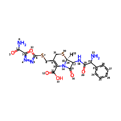 NC(=O)c1nnc(SCC2=C(C(=O)O)N3C(=O)C(NC(=O)C(N)c4ccccc4)[C@@H]3SC2)o1